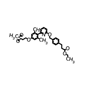 CCOC(=O)CCc1ccc(COc2cccc(-c3c(C)cc(OCCS(C)(=O)=O)cc3C)n2)cc1